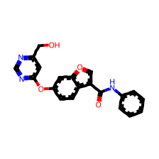 O=C(Nc1ccccc1)c1coc2cc(Oc3cc(CO)ncn3)ccc12